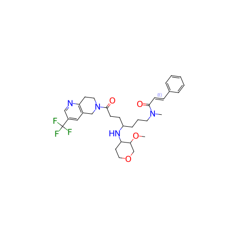 COC1COCCC1NC(CCCN(C)C(=O)/C=C/c1ccccc1)CCC(=O)N1CCc2ncc(C(F)(F)F)cc2C1